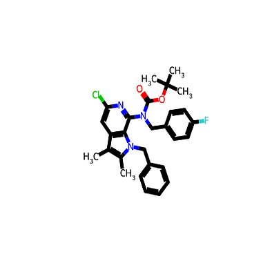 Cc1c(C)n(Cc2ccccc2)c2c(N(Cc3ccc(F)cc3)C(=O)OC(C)(C)C)nc(Cl)cc12